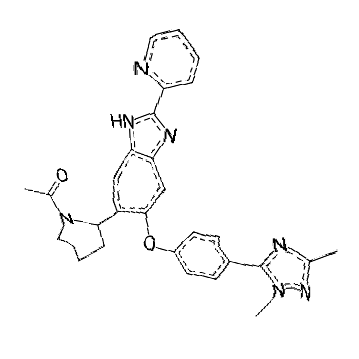 CC(=O)N1CCCC1c1cc2[nH]c(-c3ccccn3)nc2cc1Oc1ccc(-c2nc(C)nn2C)cc1